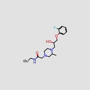 CC1CN(CC(=O)NCC(C)(C)C)CCN1CC(O)COc1ccccc1F